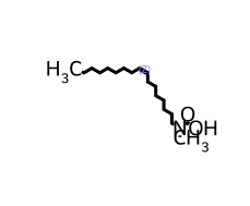 CCCCCCCC/C=C\CCCCCCCN(C)C(=O)O